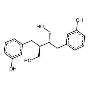 OC[C@H](Cc1cccc(O)c1)[C@@H](CO)Cc1cccc(O)c1